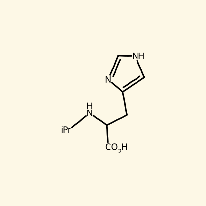 CC(C)NC(Cc1c[nH]cn1)C(=O)O